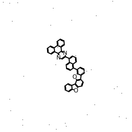 c1ccc2c(c1)oc1ccc3c4cccc(-c5cccc6c(-c7cnc8c9ccccc9c9ccccc9c8n7)cccc56)c4oc3c12